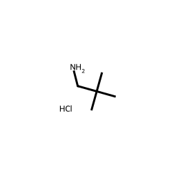 CC(C)(C)CN.Cl